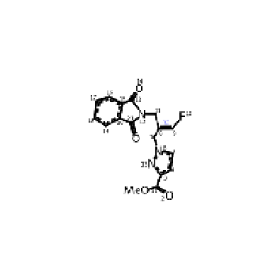 COC(=O)c1ccn(C/C(=C/F)CN2C(=O)c3ccccc3C2=O)n1